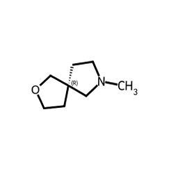 CN1CC[C@@]2(CCOC2)C1